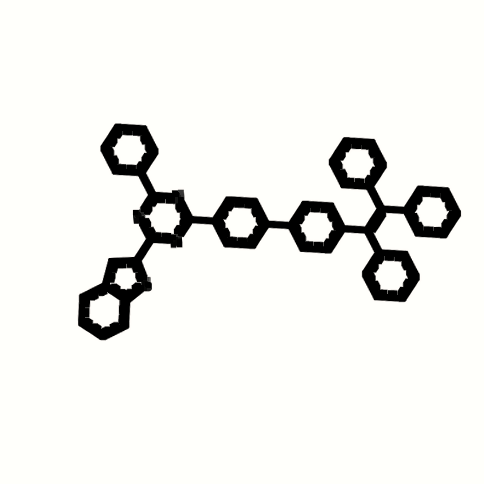 c1ccc(C(=C(c2ccccc2)c2ccc(-c3ccc(-c4nc(-c5ccccc5)nc(-c5cc6ccccc6s5)n4)cc3)cc2)c2ccccc2)cc1